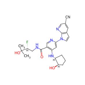 CC(C)(O)[C@H](F)CNC(=O)c1cnc(-n2ccc3cc(C#N)cnc32)cc1N[C@@H]1CCC[C@H]1O